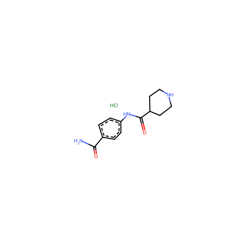 Cl.NC(=O)c1ccc(NC(=O)C2CCNCC2)cc1